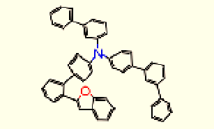 c1ccc(-c2cccc(-c3ccc(N(c4ccc(-c5ccccc5-c5cc6ccccc6o5)cc4)c4cccc(-c5ccccc5)c4)cc3)c2)cc1